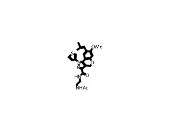 COc1cc2c(cc1C=C(C)C)-c1c(c(C(=O)NCCNC(C)=O)nn1-c1ccsc1)CO2